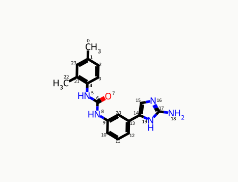 Cc1ccc(NC(=O)Nc2cccc(-c3cnc(N)[nH]3)c2)c(C)c1